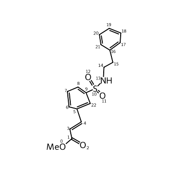 COC(=O)/C=C/c1cccc(S(=O)(=O)NCCc2ccccc2)c1